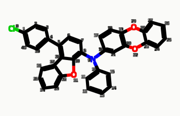 Clc1ccc(-c2ccc(N(c3ccccc3)c3ccc4c(c3)Oc3ccccc3O4)c3oc4ccccc4c23)cc1